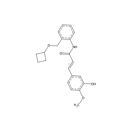 COc1ccc(/C=C/C(=O)Nc2ccccc2COC2CCC2)cc1O